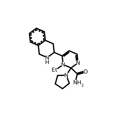 CCN1C(C2Cc3ccccc3CN2)=CC=NC1(C(N)=O)N1CCCC1